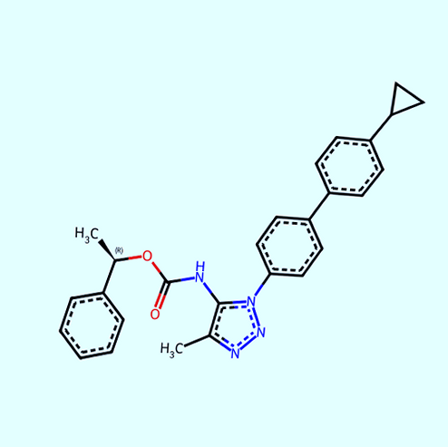 Cc1nnn(-c2ccc(-c3ccc(C4CC4)cc3)cc2)c1NC(=O)O[C@H](C)c1ccccc1